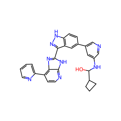 OC(Nc1cncc(-c2ccc3[nH]nc(-c4nc5c(-c6ccccn6)ccnc5[nH]4)c3c2)c1)C1CCC1